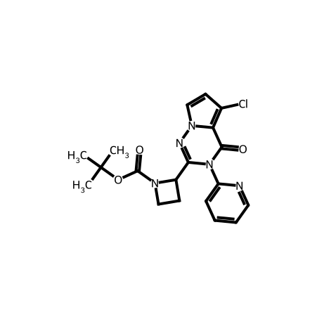 CC(C)(C)OC(=O)N1CCC1c1nn2ccc(Cl)c2c(=O)n1-c1ccccn1